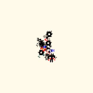 [2H]C([2H])(Oc1ccc(C[C@H](NC(=O)O[C@]2([2H])[C@@H]3CCO[C@@H]3OC2([2H])[2H])[C@H](O)CN(C([2H])([2H])C([2H])(C([2H])([2H])[2H])C([2H])([2H])[2H])S(=O)(=O)c2ccc(F)c(F)c2)cc1)c1ccccc1